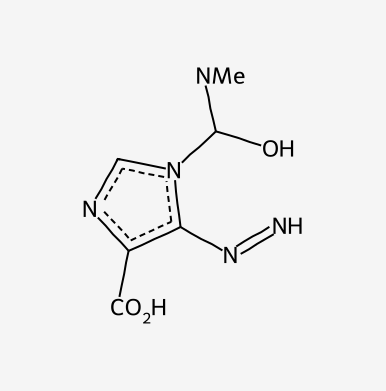 CNC(O)n1cnc(C(=O)O)c1N=N